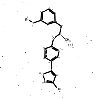 CC(C)Oc1cccc(C[C@H](C)Oc2ccc(-c3cc(O)no3)cn2)c1.Cl